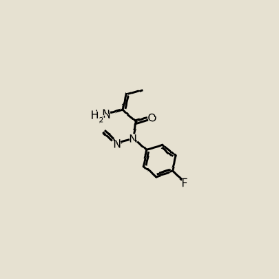 C=NN(C(=O)/C(N)=C\C)c1ccc(F)cc1